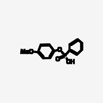 COc1ccc(OP(=O)(O)c2ccccc2)cc1